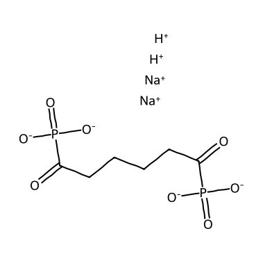 O=C(CCCCC(=O)P(=O)([O-])[O-])P(=O)([O-])[O-].[H+].[H+].[Na+].[Na+]